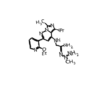 CCOc1ncccc1-c1cc(NC/C(N)=N/N(C)N)c2c(C(C)C)nc(C)n2n1